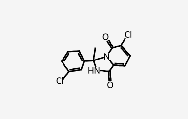 CC1(c2cccc(Cl)c2)NC(=O)c2ccc(Cl)c(=O)n21